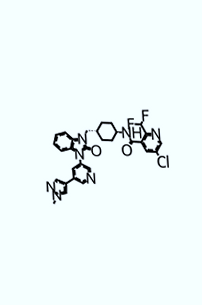 Cn1cc(-c2cncc(-n3c(=O)n(C[C@H]4CC[C@H](NC(=O)c5cc(Cl)cnc5C(F)F)CC4)c4ccccc43)c2)cn1